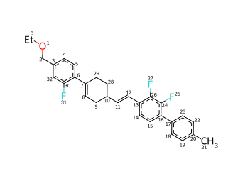 CCOCc1ccc(C2=CCC(/C=C/c3ccc(-c4ccc(C)cc4)c(F)c3F)CC2)c(F)c1